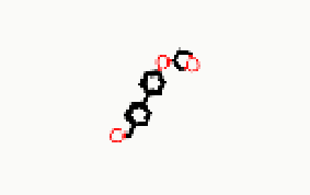 O=Cc1ccc(-c2ccc(O[C@H]3CCOC3)cc2)cc1